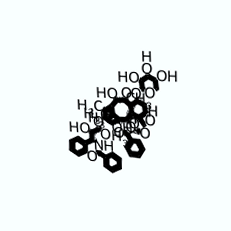 CC(=O)O[C@@]12CO[C@@H]1C[C@H](OC1OCC(O)C(O)C1O)[C@@]1(C)C(=O)[C@H](O)C3=C(C)[C@@H](OC(=O)[C@H](O)[C@@H](NC(=O)c4ccccc4)c4ccccc4)C[C@@](O)([C@@H](OC(=O)c4ccccc4)[C@H]21)C3(C)C